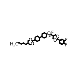 CCCCCC1COC(C2CCC(C3CCC(OC(F)(F)C4COC(c5ccc(F)c(F)c5)OC4)CC3)CC2)OC1